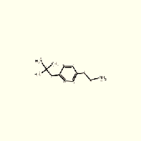 CC(C)(N)Cc1ccc(CCN)cc1